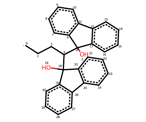 [CH2]CCC(C1(O)c2ccccc2-c2ccccc21)C1(O)c2ccccc2-c2ccccc21